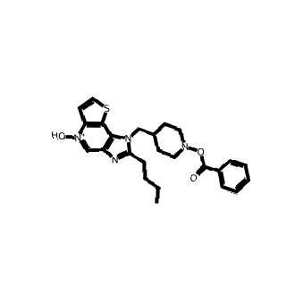 CCCCc1nc2c[n+](O)c3ccsc3c2n1CC1CCN(OC(=O)c2ccccc2)CC1